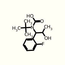 CC(O)C(c1ccccc1F)N(C(=O)O)C(C)(C)C